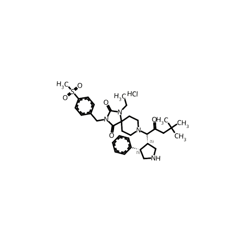 CCN1C(=O)N(Cc2ccc(S(C)(=O)=O)cc2)C(=O)C12CCN(C(C(=O)CC(C)(C)C)[C@@H]1CNC[C@@H]1c1ccccc1)CC2.Cl